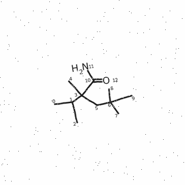 CC(C)C(C)(CC(C)(C)C)C(N)=O